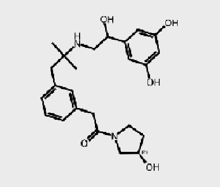 CC(C)(Cc1cccc(CC(=O)N2CC[C@@H](O)C2)c1)NCC(O)c1cc(O)cc(O)c1